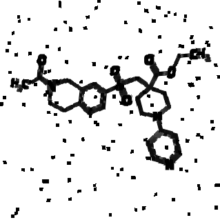 CCOC(=O)C1(CS(=O)(=O)c2ccc3c(c2)CN(C(C)=O)CC3)CCN(c2ccncc2)CC1